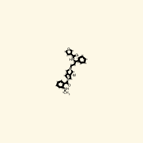 CNc1ccccc1C(=O)N1CC2CN(CCC(NC(=O)C3CCOC3)c3ccccc3)C[C@H]2C1